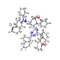 c1ccc2cc(-c3nc(-c4cccc5oc6ccccc6c45)nc(-c4cc(-n5c6ccccc6c6cc7ccccc7cc65)cc5oc6ccccc6c45)n3)ccc2c1